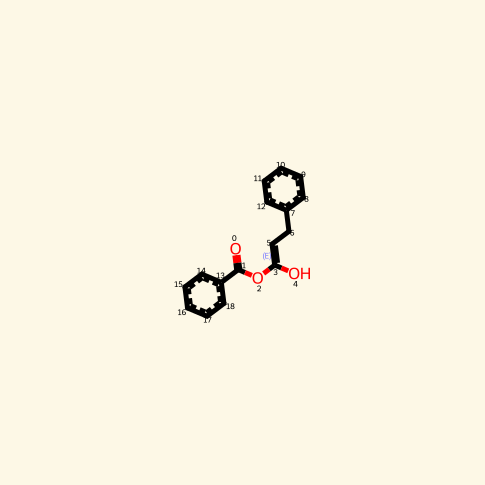 O=C(O/C(O)=C/Cc1ccccc1)c1ccccc1